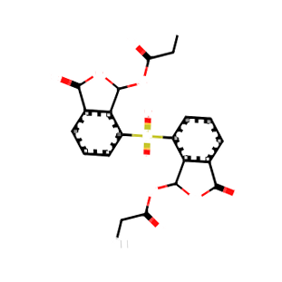 CCC(=O)OC1OC(=O)c2cccc(S(=O)(=O)c3cccc4c3C(OC(=O)CC)OC4=O)c21